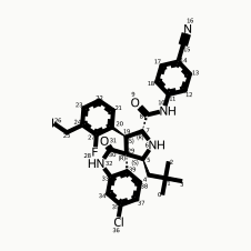 CC(C)(C)C[C@@H]1N[C@@H](C(=O)Nc2ccc(C#N)cc2)[C@H](c2cccc(CI)c2F)[C@]12C(=O)Nc1cc(Cl)ccc12